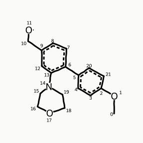 COc1ccc(-c2ccc(C[O])cc2N2CCOCC2)cc1